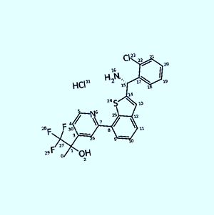 CC(O)(c1ccnc(-c2cccc3cc([C@H](N)c4ccccc4Cl)sc23)c1)C(F)(F)F.Cl